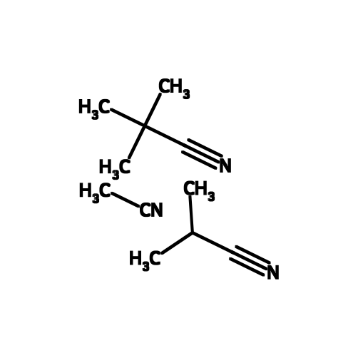 CC#N.CC(C)(C)C#N.CC(C)C#N